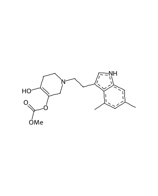 COC(=O)OC1=C(O)CCN(CCc2c[nH]c3cc(C)cc(C)c23)C1